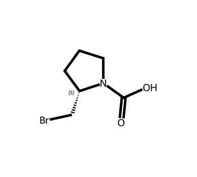 O=C(O)N1CCC[C@H]1CBr